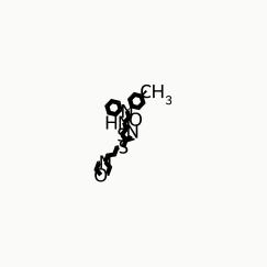 C[C@H]1CC[C@H](N(C(=O)Nc2ncc(SCCCN3CCOCC3)s2)C2CCCCC2)CC1